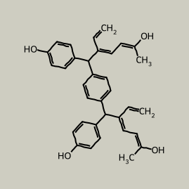 C=C/C(=C\C=C(/C)O)C(c1ccc(O)cc1)c1ccc(C(/C(C=C)=C/C=C(\C)O)c2ccc(O)cc2)cc1